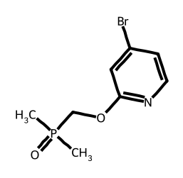 CP(C)(=O)COc1cc(Br)ccn1